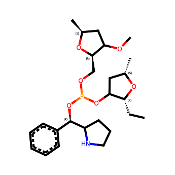 CC[C@H]1O[C@@H](C)CC1OP(OC[C@H]1O[C@@H](C)CC1OC)O[C@H](c1ccccc1)C1CCCN1